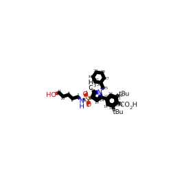 Cc1c(S(=O)(=O)NCCCCCO)cc(-c2cc(C(C)(C)C)c(C(=O)O)c(C(C)(C)C)c2)n1CC1CCCCC1